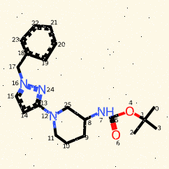 CC(C)(C)OC(=O)NC1CCCN(c2ccn(Cc3ccccc3)n2)C1